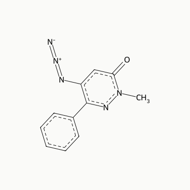 Cn1nc(-c2ccccc2)c(N=[N+]=[N-])cc1=O